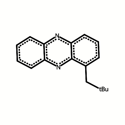 CC(C)(C)Cc1cccc2nc3ccccc3nc12